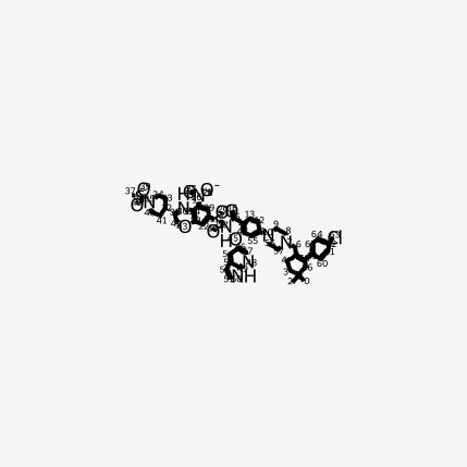 CC1(C)CCC(CN2CCN(c3ccc(C(=O)NS(=O)(=O)c4cc5c(c([N+](=O)[O-])c4)N[C@@H](C4CCN(S(C)(=O)=O)CC4)CO5)c(Oc4cnc5[nH]ccc5c4)c3)CC2)=C(c2ccc(Cl)cc2)C1